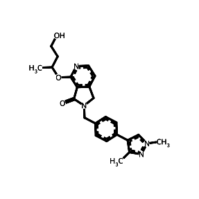 Cc1nn(C)cc1-c1ccc(CN2Cc3ccnc(OC(C)CCO)c3C2=O)cc1